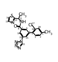 Cc1ccc(-c2cc(C(=O)NC(C)c3nccs3)cc(-n3cnnn3)c2)c(Cl)c1